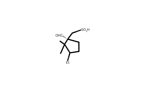 CCC1CC[C@](C=O)(CS(=O)(=O)O)C1(C)C